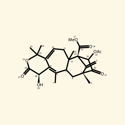 C=C1[C@@]2(C)CC3C(C)=C4C(=CCC3(C)[C@]1(C(=O)OC)C(OC(C)=O)C2=O)C(C)(C)OC(=O)[C@@H]4O